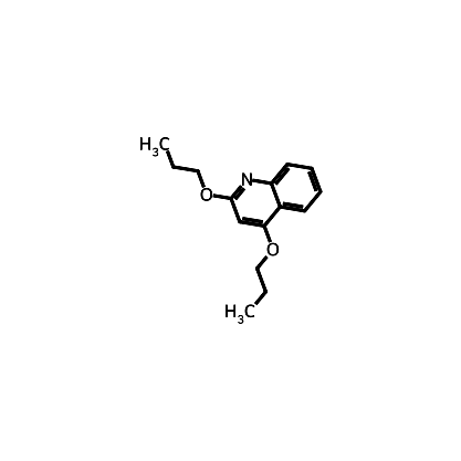 CCCOc1cc(OCCC)c2ccccc2n1